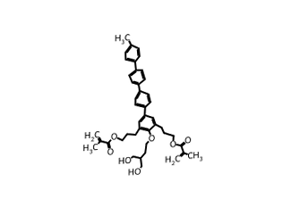 C=C(C)C(=O)OCCCc1cc(-c2ccc(-c3ccc(-c4ccc(C)cc4)cc3)cc2)cc(CCCOC(=O)C(=C)C)c1OCCC(CO)CO